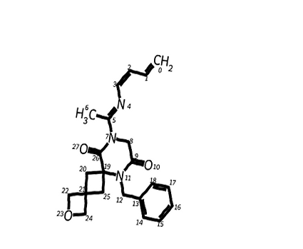 C=C/C=C\N=C(/C)N1CC(=O)N(Cc2ccccc2)C2(CC3(COC3)C2)C1=O